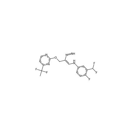 CC(F)(F)c1ccnc(OC/C(=C/Nc2ccc(F)c(C(F)F)c2)N=N)n1